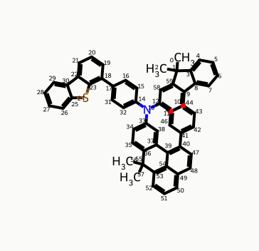 CC1(C)c2ccccc2-c2ccc(N(c3ccc(-c4cccc5c4sc4ccccc45)cc3)c3ccc4c(c3)-c3c(-c5ccccc5)ccc5cccc(c35)C4(C)C)cc21